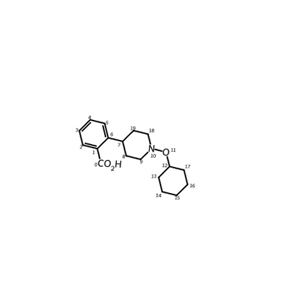 O=C(O)c1ccccc1C1CCN(OC2CCCCC2)CC1